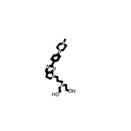 CN1CCN(c2ccc(-c3ncc4c(n3)N(CCCN(CCO)CCO)CC4)cc2)CC1